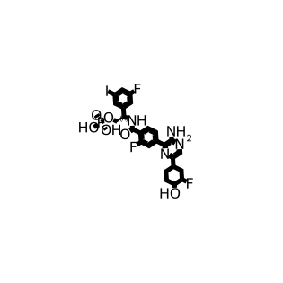 Nc1ncc(C2CCC(O)C(F)C2)nc1-c1ccc(C(=O)N[C@@H](COP(=O)(O)O)c2cc(F)cc(I)c2)c(F)c1